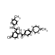 Cc1ccc(NC(=O)c2cc(Cl)ccc2NC(=O)c2ccc(N3CCCN(C)CC3)cc2)nc1